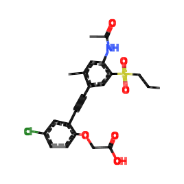 CCCS(=O)(=O)c1cc(C#Cc2cc(Cl)ccc2OCC(=O)O)c(C)cc1NC(C)=O